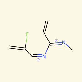 C=CC(/N=C\C(=C)F)=N/C